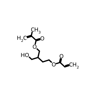 C=CC(=O)OCCC(CO)COC(=O)C(=C)C